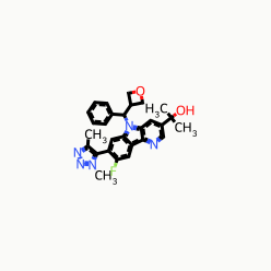 Cc1nnn(C)c1-c1cc2c(cc1F)c1ncc(C(C)(C)O)cc1n2C(c1ccccc1)C1COC1